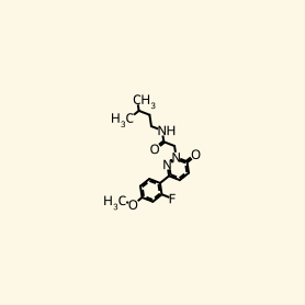 COc1ccc(-c2ccc(=O)n(CC(=O)NCCC(C)C)n2)c(F)c1